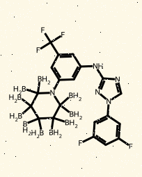 BC1(B)N(c2cc(Nc3ncn(-c4cc(F)cc(F)c4)n3)cc(C(F)(F)F)c2)C(B)(B)C(B)(B)C(B)(B)C1(B)B